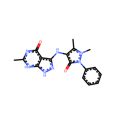 Cc1nc(=O)c2c(Nc3c(C)n(C)n(-c4ccccc4)c3=O)n[nH]c2[nH]1